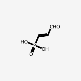 O=CC=CP(=O)(O)O